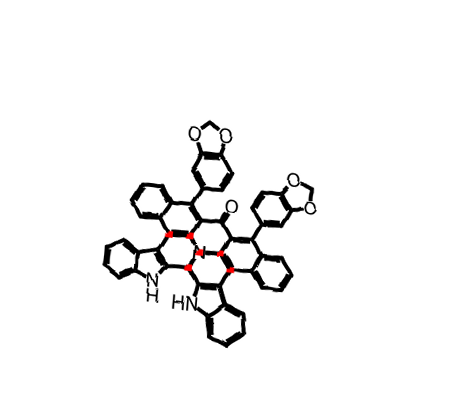 O=C(c1c(N2CCc3c([nH]c4ccccc34)C2)cc2ccccc2c1-c1ccc2c(c1)OCO2)c1c(N2CCc3c([nH]c4ccccc34)C2)cc2ccccc2c1-c1ccc2c(c1)OCO2